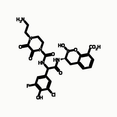 NCCN1CCN(C(=O)NC(C(=O)N[C@H]2Cc3cccc(C(=O)O)c3OB2O)c2cc(F)c(O)c(Cl)c2)C(=O)C1=O